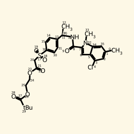 Cc1cc(Cl)c2cc(C(=O)N[C@H](C)c3ccc(S(=O)(=O)CC(=O)OCCOC(=O)C(C)(C)C)cc3)n(C)c2c1